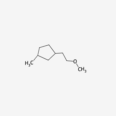 COCCC1CCC(C)C1